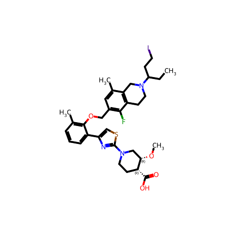 CCC(CCI)N1CCc2c(F)c(COc3c(C)cccc3-c3csc(N4CC[C@@H](C(=O)O)[C@@H](OC)C4)n3)cc(C)c2C1